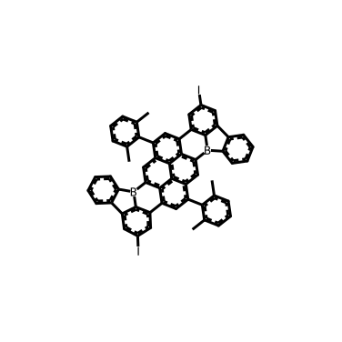 Cc1cccc(C)c1-c1cc2c3c(cc4c(-c5c(C)cccc5C)cc5c6c(cc1c3c46)B1c3ccccc3-c3cc(I)cc-5c31)B1c3ccccc3-c3cc(I)cc-2c31